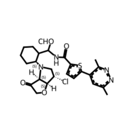 Cc1cc(-c2ccc(C(=O)NC(C=O)C3CCCC[C@@H]3N3C[C@H](Cl)[C@H]4OCC(=O)[C@H]43)s2)c(C)nn1